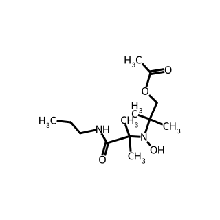 CCCNC(=O)C(C)(C)N(O)C(C)(C)COC(C)=O